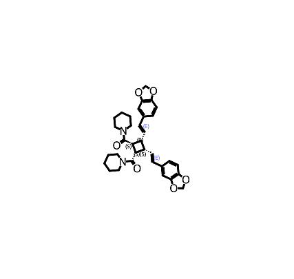 O=C([C@H]1[C@H](/C=C/c2ccc3c(c2)OCO3)[C@H](/C=C/c2ccc3c(c2)OCO3)[C@@H]1C(=O)N1CCCCC1)N1CCCCC1